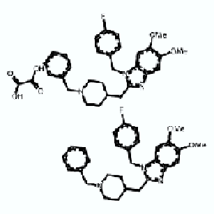 COc1cc2nc(CC3CCN(Cc4ccccc4)CC3)n(Cc3ccc(F)cc3)c2cc1OC.COc1cc2nc(CC3CCN(Cc4ccccc4)CC3)n(Cc3ccc(F)cc3)c2cc1OC.O=C(O)C(=O)O